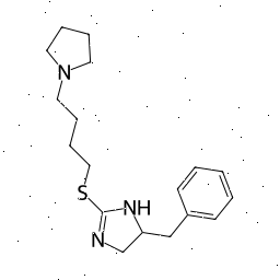 c1ccc(CC2CN=C(SCCCCN3CCCC3)N2)cc1